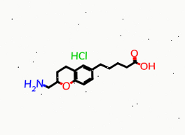 Cl.NCC1CCc2cc(CCCCC(=O)O)ccc2O1